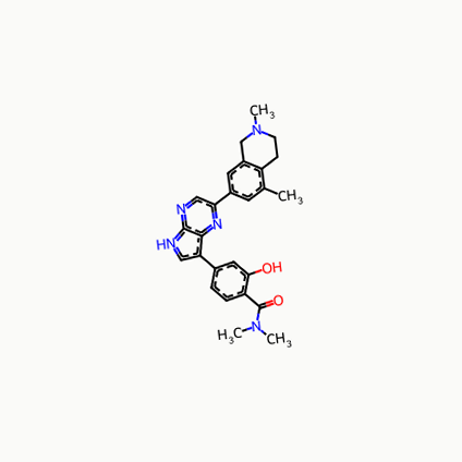 Cc1cc(-c2cnc3[nH]cc(-c4ccc(C(=O)N(C)C)c(O)c4)c3n2)cc2c1CCN(C)C2